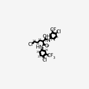 O=C(Nc1ccc(Cl)c(C(F)(F)F)c1)C(CCCCl)C(=O)Nc1ccc(Cl)c(C(F)(F)F)c1